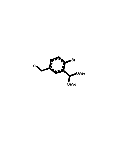 COC(OC)c1cc(CBr)ccc1Br